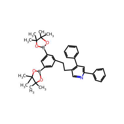 CC1(C)OB(c2cc(CCc3cnc(-c4ccccc4)cc3-c3ccccc3)cc(B3OC(C)(C)C(C)(C)O3)c2)OC1(C)C